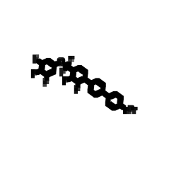 CCCc1ccc(-c2ccc(-c3ccc(C(F)(F)Oc4cc(F)c(F)c(F)c4)c(F)c3F)cc2)cc1